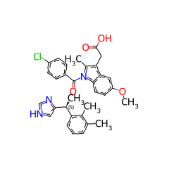 COc1ccc2c(c1)c(CC(=O)O)c(C)n2C(=O)c1ccc(Cl)cc1.Cc1cccc([C@H](C)c2c[nH]cn2)c1C